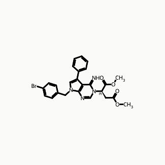 COC(=O)C[C@H](C(=O)OC)n1cnc2c(c(-c3ccccc3)cn2Cc2ccc(Br)cc2)c1=N